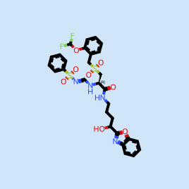 O=C(NCCCC(O)c1nc2ccccc2o1)[C@H](CS(=O)(=O)Cc1ccccc1OC(F)F)NC=NS(=O)(=O)c1ccccc1